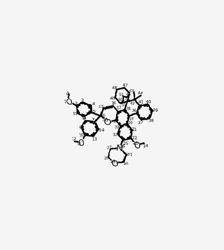 COc1ccc(C2(c3ccc(OC)cc3)C=Cc3c4c(c5cc(OC)c(N6CCOCC6)cc5c3O2)-c2ccccc2C(C)(C)C42C3CCCC2CCC3)cc1